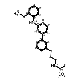 C[C@@H](NCCCc1cccc(-c2ncnc(Nc3ccccc3CN)n2)c1)C(=O)O